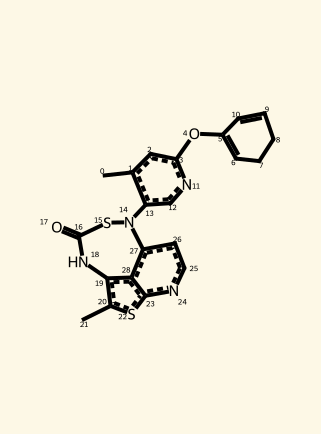 Cc1cc(OC2=CCCC=C2)ncc1N1SC(=O)Nc2c(C)sc3nccc1c23